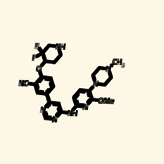 COc1nc(Nc2cc(-c3ccc(OC4CCNCC4(F)F)c(C#N)c3)ncn2)ccc1N1CCN(C)CC1